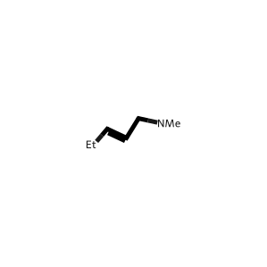 CCC=CCNC